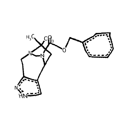 CC1(C)CC2c3c[nH]nc3CN1N2C(=O)OCc1ccccc1